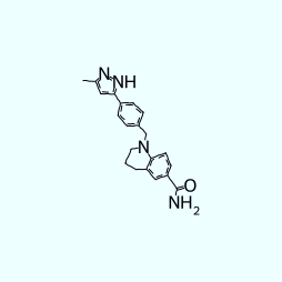 Cc1cc(-c2ccc(CN3CCCc4cc(C(N)=O)ccc43)cc2)[nH]n1